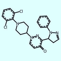 O=c1ccn(C2CCN(c3c(Cl)cccc3Cl)CC2)nc1C1CC=NN1c1ccccc1